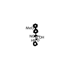 COc1ccccc1-c1ccc([C@@H]2[C@@H](C#N)N(C(=O)NC3CCCCC3)[C@@H]2CO)cc1